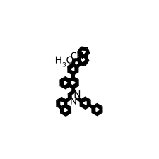 CC1(C)c2ccc(-c3ccc(-c4cc(-c5cccc6ccccc56)nc(-c5ccc(-c6ccccc6)cc5)n4)c4ccccc34)cc2-c2ccc3ccccc3c21